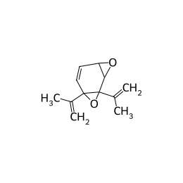 C=C(C)C12C=CC3OC3C1(C(=C)C)O2